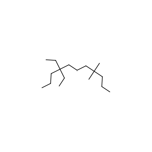 CCCC(C)(C)C[CH]CC(CC)(CC)CCC